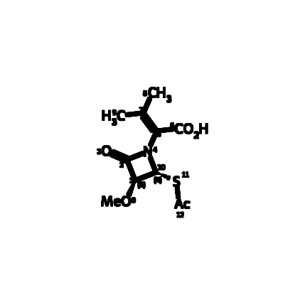 CO[C@H]1C(=O)N(C(C(=O)O)=C(C)C)[C@@H]1SC(C)=O